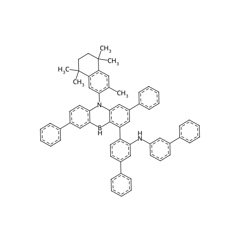 Cc1cc2c(cc1N1c3ccc(-c4ccccc4)cc3Bc3c(-c4ccc(-c5ccccc5)cc4Nc4cccc(-c5ccccc5)c4)cc(-c4ccccc4)cc31)C(C)(C)CCC2(C)C